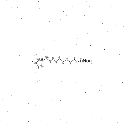 CCCCCCCCCCCCCCCCCCCC1CCCC1